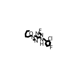 Fc1ccc(CNc2nc(F)nc3c2ncn3C2CCCCCO2)c(Cl)c1